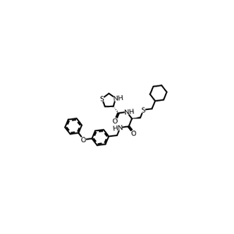 O=C(N[C@@H](CSCC1CCCCC1)C(=O)NCc1ccc(Oc2ccccc2)cc1)[C@@H]1CSCN1